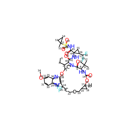 CCC1C2CN(C(=O)C(C(C)(C)C)NC(=O)O[C@H]3CC3CCCCC(F)(F)c3nc4ccc(OC)cc4nc3O2)C1C(=O)NC1(C(=O)NS(=O)(=O)C2(C)CC2)CC1C(F)F